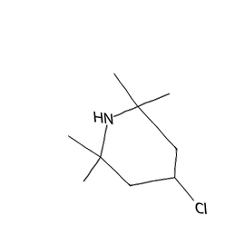 CC1(C)CC(Cl)CC(C)(C)N1